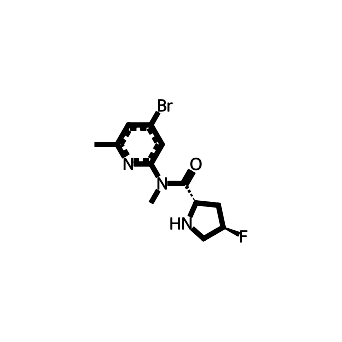 Cc1cc(Br)cc(N(C)C(=O)[C@@H]2C[C@@H](F)CN2)n1